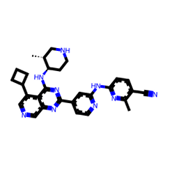 Cc1nc(Nc2cc(-c3nc(N[C@@H]4CCNC[C@H]4C)c4c(C5CCC5)cncc4n3)ccn2)ccc1C#N